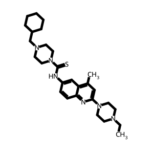 CCN1CCN(c2cc(C)c3cc(NC(=S)N4CCN(CC5CCCCC5)CC4)ccc3n2)CC1